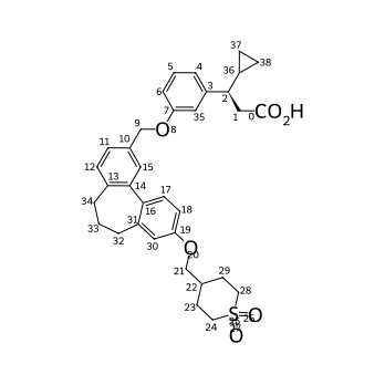 O=C(O)C[C@@H](c1cccc(OCc2ccc3c(c2)-c2ccc(OCC4CCS(=O)(=O)CC4)cc2CCC3)c1)C1CC1